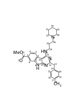 COC(=O)c1ccc2c(c1)[nH]c1nc(Cc3ccc(C)cc3)nc(NCCCN3CCCCC3)c12